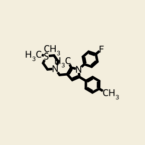 Cc1ccc(-c2cc(CN3CCS(C)(C)CC3)c(C)n2-c2ccc(F)cc2)cc1